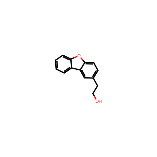 OCCc1ccc2oc3ccccc3c2c1